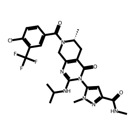 CNC(=O)c1cc(-n2c(NC(C)C)nc3c(c2=O)C[C@@H](C)N(C(=O)c2ccc(Cl)c(C(F)(F)F)c2)C3)n(C)n1